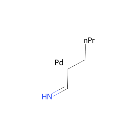 CCCCCC=N.[Pd]